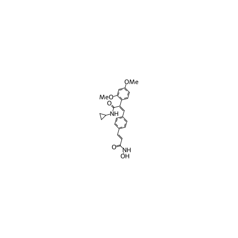 COc1ccc(/C(=C/c2ccc(/C=C/C(=O)NO)cc2)C(=O)NC2CC2)c(OC)c1